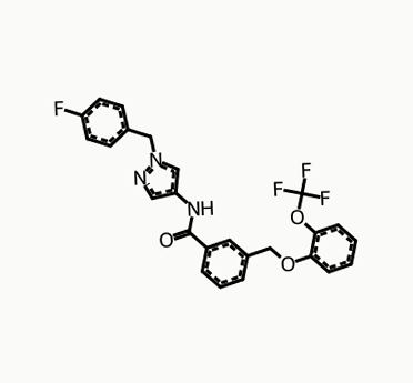 O=C(Nc1cnn(Cc2ccc(F)cc2)c1)c1cccc(COc2ccccc2OC(F)(F)F)c1